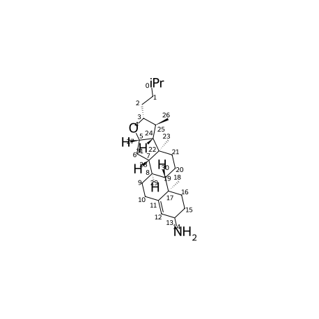 CC(C)CC[C@H]1O[C@H]2C[C@H]3[C@@H]4CCC5=CC(N)CC[C@]5(C)[C@H]4CC[C@]3(C)[C@H]2[C@@H]1C